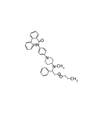 CCCOOCC(c1ccccc1)N(C)C1CCN(c2ccc(NC(=O)c3ccccc3-c3ccccc3)cc2)CC1